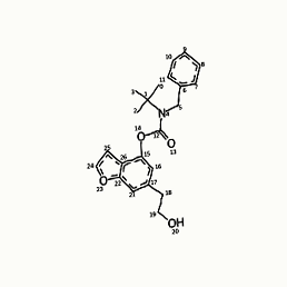 CC(C)(C)N(Cc1ccccc1)C(=O)Oc1cc(CCO)cc2occc12